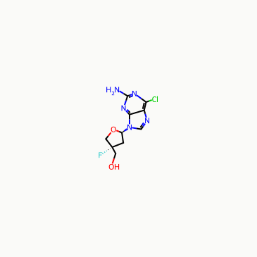 Nc1nc(Cl)c2ncn([C@H]3C[C@@](F)(CO)CO3)c2n1